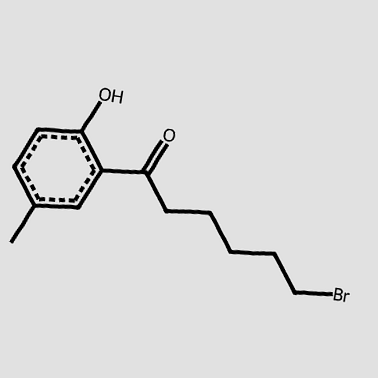 Cc1ccc(O)c(C(=O)CCCCCBr)c1